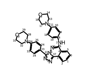 c1ccc2c(c1)c(Nc1ccc(N3CCOCC3)cc1)nn1c(-c3ccc(N4CCOCC4)cc3)nnc21